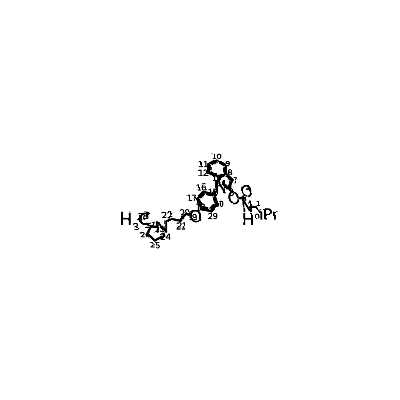 CC(C)CNC(=O)Oc1cc2ccccc2n1-c1ccc(OCCCN2CCC[C@H]2C)cc1